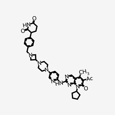 CC(=O)c1c(C)c2cnc(Nc3ccc(N4CCN(C5CN(Cc6ccc(C7CCC(=O)NC7=O)cc6)C5)CC4)cn3)nc2n(C2CCCC2)c1=O